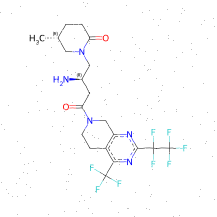 C[C@@H]1CCC(=O)N(C[C@H](N)CC(=O)N2CCc3c(nc(C(F)(F)C(F)(F)F)nc3C(F)(F)F)C2)C1